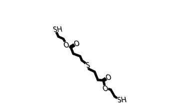 O=C(CCCSCCCC(=O)OCCS)OCCS